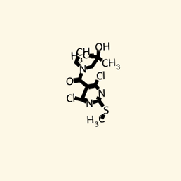 CCN(CC(C)(C)O)C(=O)c1c(Cl)nc(SC)nc1Cl